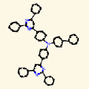 c1ccc(-c2ccc(N(c3ccc(-c4cc(-c5ccccc5)nc(-c5ccccc5)n4)cc3)c3ccc(-c4cc(-c5ccccc5)nc(-c5ccccc5)n4)cc3)cc2)cc1